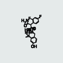 CN1CC[C@@]2(C)c3cc(O)ccc3C[C@@H]1[C@@H]2NC(=O)C(C(N)=O)c1ccc(F)cc1F